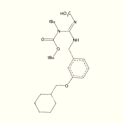 CC(C)(C)OC(=O)N(C(=NC(=O)O)NCc1cccc(OCC2CCCCC2)c1)C(C)(C)C